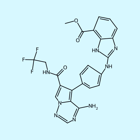 COC(=O)c1cccc2nc(Nc3ccc(-c4c(C(=O)NCC(F)(F)F)cn5ncnc(N)c45)cc3)[nH]c12